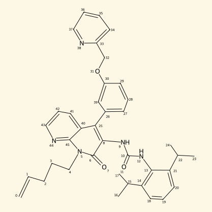 C=CCCCn1c(=O)c(NC(=O)Nc2c(C(C)C)cccc2C(C)C)c(-c2cccc(OCc3ccccn3)c2)c2cccnc21